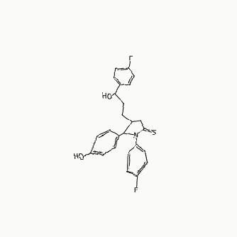 Oc1ccc(C2C(CCC(O)c3ccc(F)cc3)CC(=S)N2c2ccc(F)cc2)cc1